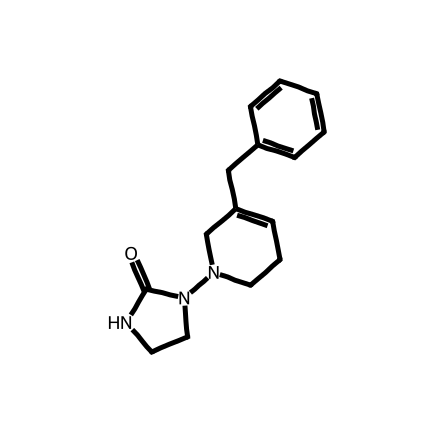 O=C1NCCN1N1CCC=C(Cc2ccccc2)C1